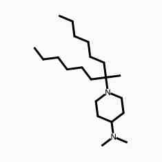 CCCCCCC(C)(CCCCCC)N1CCC(N(C)C)CC1